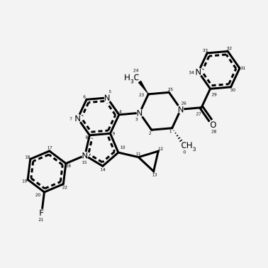 C[C@@H]1CN(c2ncnc3c2c(C2CC2)cn3-c2cccc(F)c2)[C@@H](C)CN1C(=O)c1ccccn1